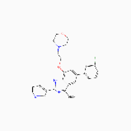 CNc1nc(-c2cccnc2)nc2c(OCCN3CCOCC3)cc(-c3cccc(F)c3)cc12